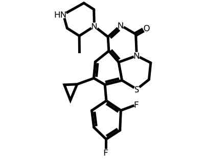 CC1CNCCN1c1nc(=O)n2c3c(c(-c4ccc(F)cc4F)c(C4CC4)cc13)SCC2